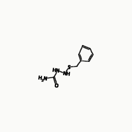 NC(=O)NNSCc1ccccc1